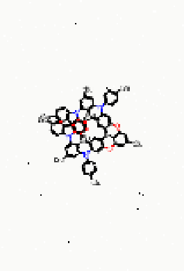 CC(C)(C)c1ccc(N2c3cc4c(cc3B3c5c2cc(C(C)(C)C)cc5-n2c5ccc(C(C)(C)C)cc5c5cc(C(C)(C)C)cc3c52)B2c3cc5c(cc3Oc3cc(C(C)(C)C)cc(c32)O4)N(c2ccc(C(C)(C)C)cc2)c2cc(C(C)(C)C)cc3c2B5c2cc(C(C)(C)C)cc4c5cc(C(C)(C)C)ccc5n-3c24)cc1